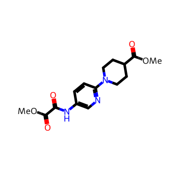 COC(=O)C(=O)Nc1ccc(N2CCC(C(=O)OC)CC2)nc1